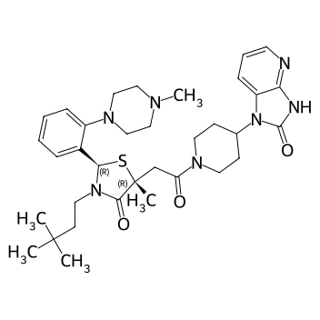 CN1CCN(c2ccccc2[C@H]2S[C@](C)(CC(=O)N3CCC(n4c(=O)[nH]c5ncccc54)CC3)C(=O)N2CCC(C)(C)C)CC1